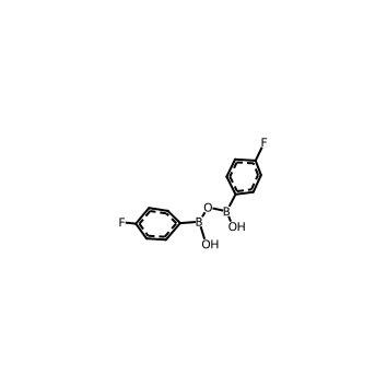 OB(OB(O)c1ccc(F)cc1)c1ccc(F)cc1